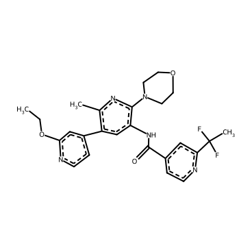 CCOc1cc(-c2cc(NC(=O)c3ccnc(C(C)(F)F)c3)c(N3CCOCC3)nc2C)ccn1